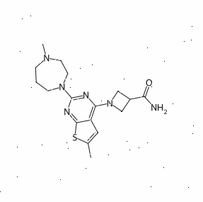 Cc1cc2c(N3CC(C(N)=O)C3)nc(N3CCCN(C)CC3)nc2s1